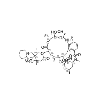 CC[C@H]1OC(=O)[C@H](C)[C@@H](O[C@H]2C[C@@](C)(OC)[C@](O)(CN3CCCCC3)[C@H](C)O2)[C@H](C)[C@@H](O[C@@H]2O[C@H](C)C[C@H](N(C)S(=O)(=O)c3ccc(F)cc3)[C@H]2O)[C@](C)(O)C[C@@H](C)CN[C@H](C)[C@@H](O)[C@]1(C)O